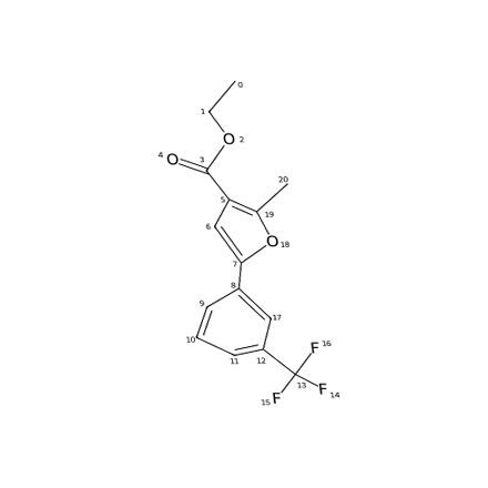 CCOC(=O)c1cc(-c2cccc(C(F)(F)F)c2)oc1C